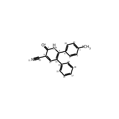 Cc1ccc(-c2[nH]c(=O)c(C#N)cc2-c2ccccc2)cc1